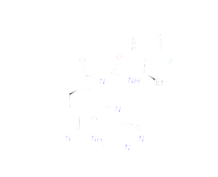 CC[C@@H](NC(=O)N1C(=O)[C@H](Cc2cc(C)nc(N)c2)[C@H]1C(=O)N(C)c1cnn(C)c1)c1cc(C)ccc1F